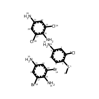 CSc1ccc(N)cc1Cl.Nc1cc(Br)c(N)c(Br)c1.Nc1cc(Cl)c(N)c(Cl)c1